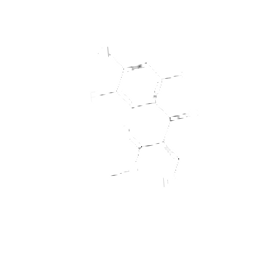 COC(=O)C(=CO)C(=O)c1cc(F)c(Cl)cc1Cl